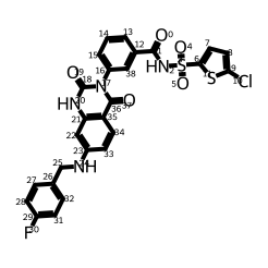 O=C(NS(=O)(=O)c1ccc(Cl)s1)c1cccc(-n2c(=O)[nH]c3cc(NCc4ccc(F)cc4)ccc3c2=O)c1